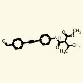 COC(=O)C(C(=O)Nc1ccc(C#Cc2ccc(C=O)cc2)cc1)C(C)C